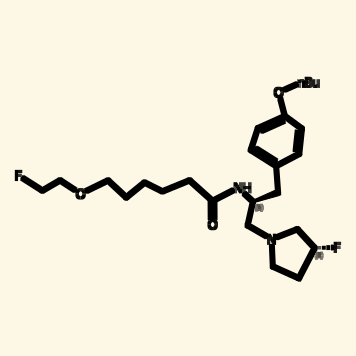 CCCCOc1ccc(C[C@@H](CN2CC[C@@H](F)C2)NC(=O)CCCCCOCCF)cc1